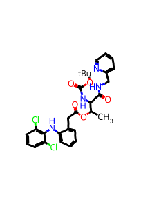 CC(OC(=O)Cc1ccccc1Nc1c(Cl)cccc1Cl)C(NC(=O)OC(C)(C)C)C(=O)NCc1ccccn1